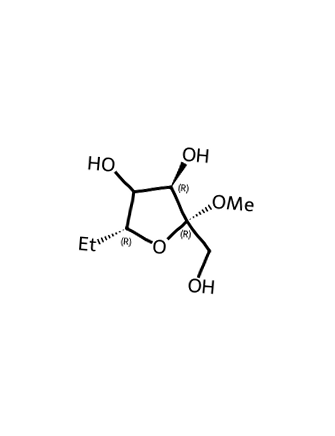 CC[C@H]1O[C@@](CO)(OC)[C@H](O)C1O